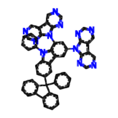 c1ccc(-n2c3ccc(C4(c5ccccc5)c5ccccc5-c5ccccc54)cc3c3cc(-n4c5ncncc5c5cncnc54)cc(-n4c5ncncc5c5cncnc54)c32)cc1